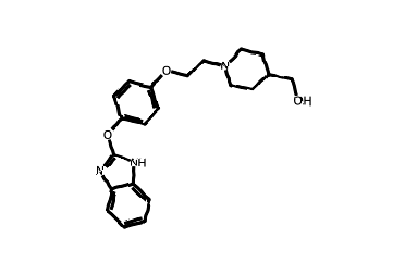 OCC1CCN(CCOc2ccc(Oc3nc4ccccc4[nH]3)cc2)CC1